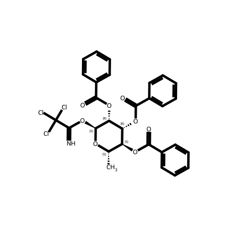 C[C@@H]1O[C@@H](OC(=N)C(Cl)(Cl)Cl)[C@H](OC(=O)c2ccccc2)[C@H](OC(=O)c2ccccc2)[C@H]1OC(=O)c1ccccc1